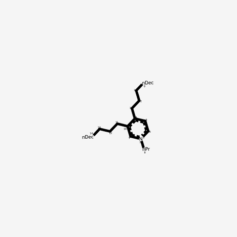 CCCCCCCCCCCCCc1cc[n+](CCC)cc1CCCCCCCCCCCCC